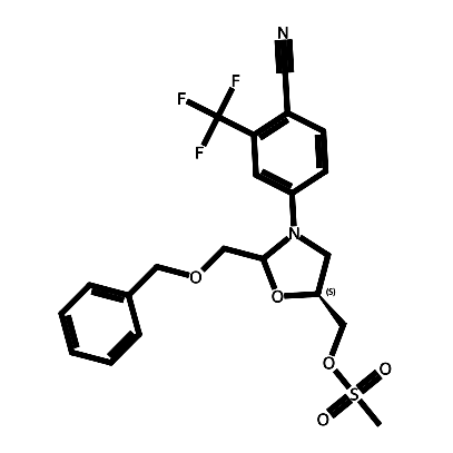 CS(=O)(=O)OC[C@@H]1CN(c2ccc(C#N)c(C(F)(F)F)c2)C(COCc2ccccc2)O1